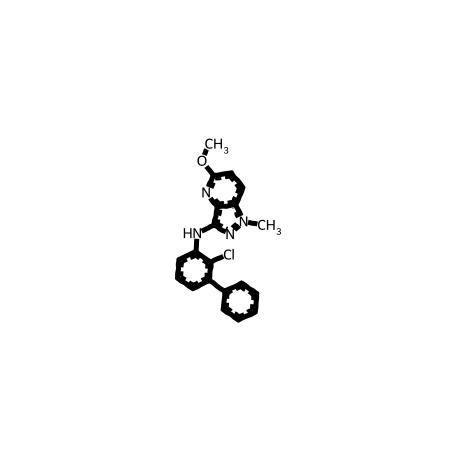 COc1ccc2c(n1)c(Nc1cccc(-c3ccccc3)c1Cl)nn2C